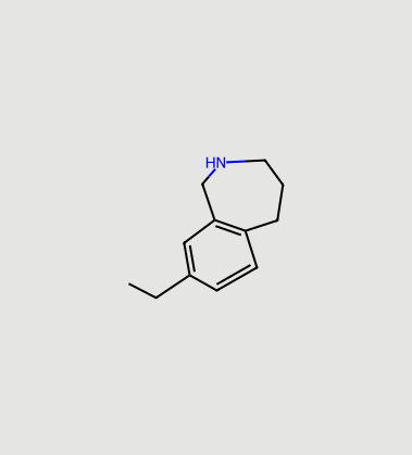 CCc1ccc2c(c1)CNCCC2